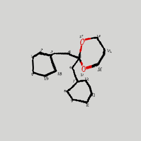 C1CCC(CC2(CC3CCCCC3)OCCCO2)CC1